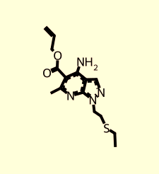 C=CCOC(=O)c1c(C)nc2c(cnn2CCSCC)c1N